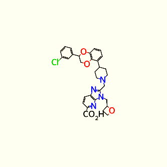 O=C(O)c1ccc2nc(CN3CCC(c4cccc5c4OCC(c4cccc(Cl)c4)O5)CC3)n(C[C@@H]3CCO3)c2n1